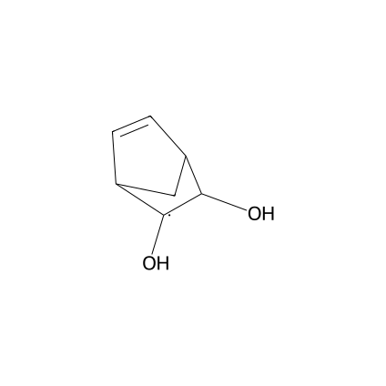 O[C]1C2C=CC(C2)C1O